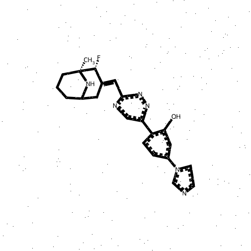 C[C@]12CCCC(C/C(=C\c3ncc(-c4ccc(-n5ccnc5)cc4O)nn3)[C@H]1F)N2